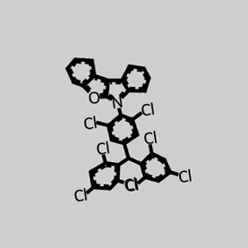 Clc1cc(Cl)c(C(c2cc(Cl)c(-n3c4ccccc4c4c5ccccc5oc43)c(Cl)c2)c2c(Cl)cc(Cl)cc2Cl)c(Cl)c1